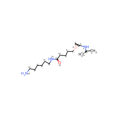 C=C(C)NC1=CB1CCCCC(=O)NCCCCCCN